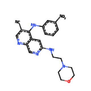 N#Cc1cnc2cnc(NCCN3CCOCC3)cc2c1Nc1cccc([N+](=O)[O-])c1